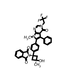 Cn1c(-c2ccc([C@]3(N4C(=O)c5ccccc5C4=O)C[C@@](C)(O)C3)cc2)c(-c2ccccc2)c2c(=O)n(CC(F)(F)F)cnc21